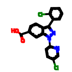 O=C(O)c1ccc2c(-c3ccccc3Cl)nn(-c3ccc(Cl)cn3)c2c1